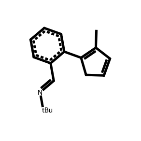 CC1=C(c2ccccc2C=NC(C)(C)C)CC=C1